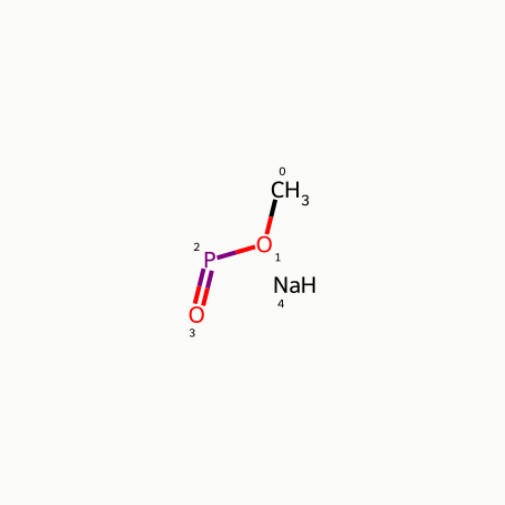 COP=O.[NaH]